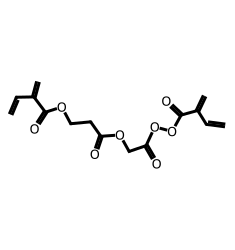 C=CC(=C)C(=O)OCCC(=O)OCC(=O)OOC(=O)C(=C)C=C